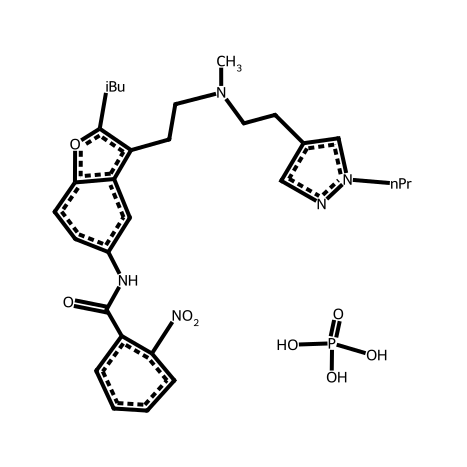 CCCn1cc(CCN(C)CCc2c(C(C)CC)oc3ccc(NC(=O)c4ccccc4[N+](=O)[O-])cc23)cn1.O=P(O)(O)O